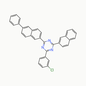 Clc1cccc(-c2nc(-c3ccc4ccccc4c3)nc(-c3ccc4cc(-c5ccccc5)ccc4c3)n2)c1